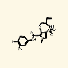 C=CC1COc2c(cn(C)c2C(=O)Nc2ccc(F)c(C#N)c2)S(=O)(=O)N1